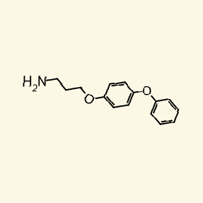 NCCCOc1ccc(Oc2ccccc2)cc1